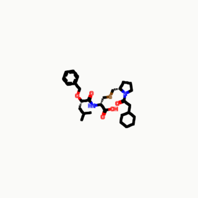 CC(C)C[C@H](OCc1ccccc1)C(=O)N[C@H](CSC[C@@H]1CCCN1C(=O)CC1CCCCC1)C(=O)O